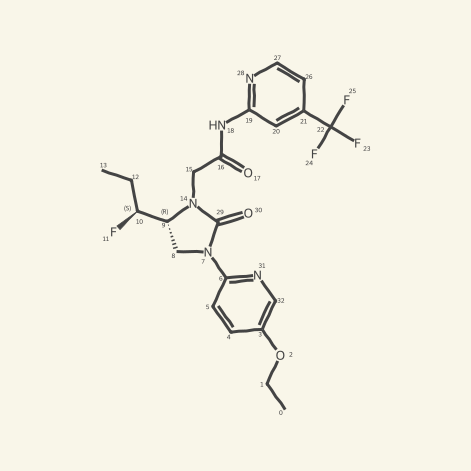 CCOc1ccc(N2C[C@H]([C@@H](F)CC)N(CC(=O)Nc3cc(C(F)(F)F)ccn3)C2=O)nc1